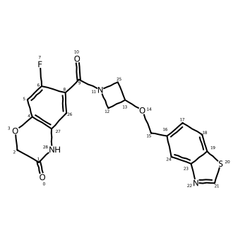 O=C1COc2cc(F)c(C(=O)N3CC(OCc4ccc5scnc5c4)C3)cc2N1